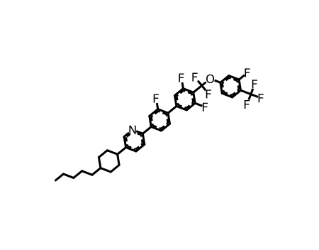 CCCCCC1CCC(c2ccc(-c3ccc(-c4cc(F)c(C(F)(F)Oc5ccc(C(F)(F)F)c(F)c5)c(F)c4)c(F)c3)nc2)CC1